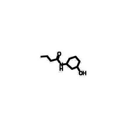 CCCC(=O)NC1CCCC(O)C1